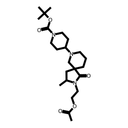 CC(=O)OCCN1C(=O)C2(CCCN(C3CCN(C(=O)OC(C)(C)C)CC3)C2)CC1C